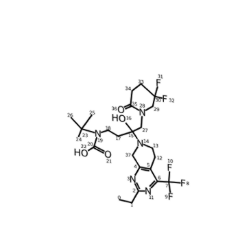 CCc1nc2c(c(C(F)(F)F)n1)CCN(C(O)(CCN(C(=O)O)C(C)(C)C)CN1CC(F)(F)CCC1=O)C2